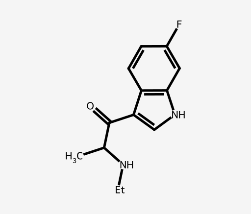 CCNC(C)C(=O)c1c[nH]c2cc(F)ccc12